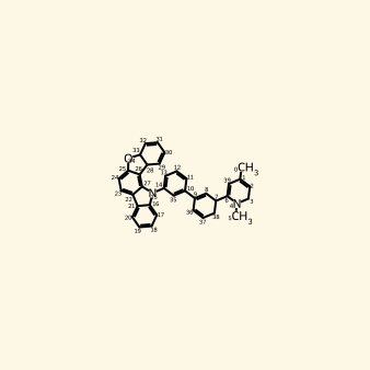 CC1=CCN(C)C(C2C=C(c3cccc(-n4c5ccccc5c5ccc6c(c54)C4C=CC=CC4O6)c3)C=CC2)=C1